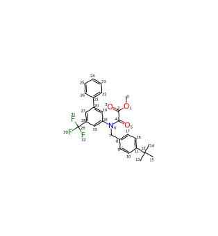 COC(=O)C(=O)N(Cc1ccc(C(C)(C)C)cc1)c1cc(-c2ccccc2)cc(C(F)(F)F)c1